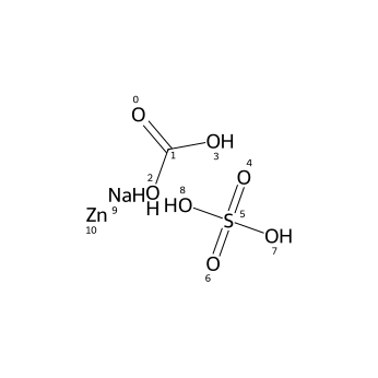 O=C(O)O.O=S(=O)(O)O.[NaH].[Zn]